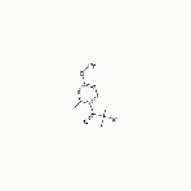 Cc1cc(OC(C)C)ccc1C(=O)C(C)(C)Br